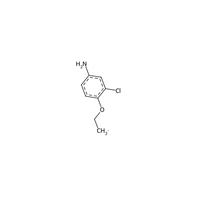 [CH2]COc1ccc(N)cc1Cl